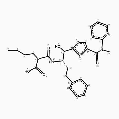 CCCCN(C(=O)O)C(=O)N[C@@H](CCc1ccccc1)C(O)c1nc(C(=O)N(C)c2ccccn2)co1